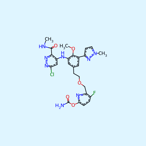 CNC(=O)c1nnc(Cl)cc1Nc1cc(CCOCc2nc(OC(N)=O)ccc2F)cc(-c2ccn(C)n2)c1OC